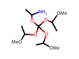 COC(C)OC(OC(C)N)(OC(C)OC)OC(C)OC